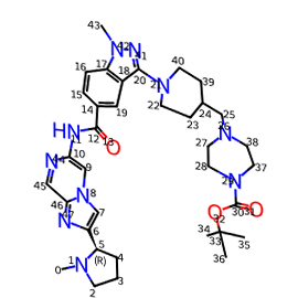 CN1CCC[C@@H]1c1cn2cc(NC(=O)c3ccc4c(c3)c(N3CCC(CN5CCN(C(=O)OC(C)(C)C)CC5)CC3)nn4C)ncc2n1